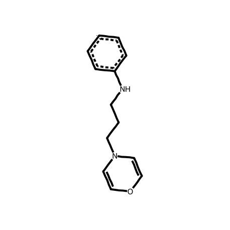 [c]1ccc(NCCCN2C=COC=C2)cc1